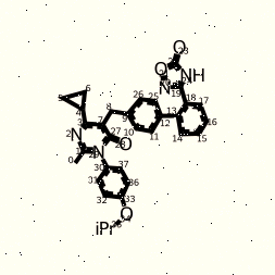 Cc1nc(C2CC2)c(Cc2ccc(-c3ccccc3-c3noc(=O)[nH]3)cc2)c(=O)n1-c1ccc(OC(C)C)cc1